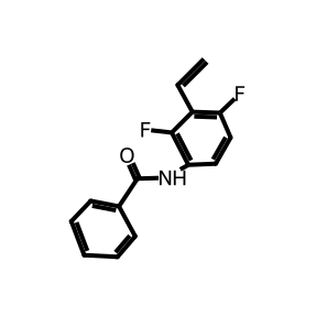 C=Cc1c(F)ccc(NC(=O)c2ccccc2)c1F